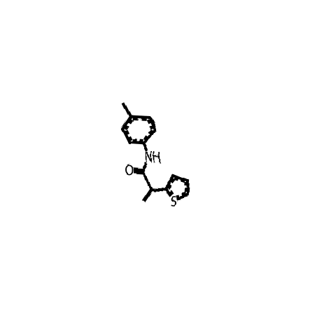 Cc1ccc(NC(=O)C(C)c2cccs2)cc1